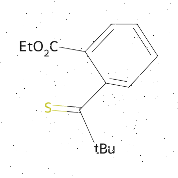 CCOC(=O)c1ccccc1C(=S)C(C)(C)C